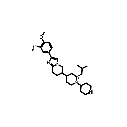 COc1ccc(-c2cn3c(n2)CCC(C2CCN(C4CCNCC4)[C@H](CC(C)C)C2)C3)cc1OC